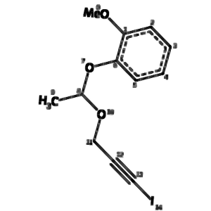 COc1ccccc1OC(C)OCC#CI